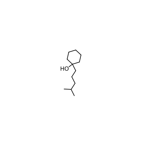 CC(C)CCCC1(O)CCCCC1